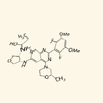 C=CC(O)N[C@H]1COC[C@H]1Nc1cc2c(N3CCOC(C)C3)nc(-c3c(F)c(OC)cc(OC)c3F)nc2cn1